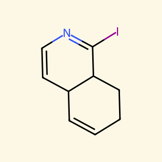 IC1=NC=CC2C=CCCC12